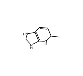 CC1C=CC2=C(NCN2)N1